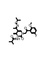 C=C1C(/C(C)=N/OC(C)C)=CN(CC(=O)c2cc(F)ccc2OC)C(=O)N1NC(=O)C(C)C